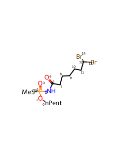 CCCCCOP(=O)(NC(=O)CCCCCC(Br)Br)SC